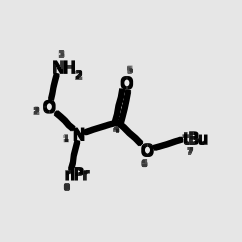 CCCN(ON)C(=O)OC(C)(C)C